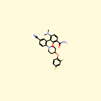 COc1c(C(N)=O)ccc(N(C)C)c1-c1cc(C#N)ccc1N1CCC(Oc2ccc(F)cc2F)CC1